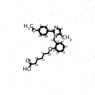 COc1ccc(-c2ncc(C)n2Cc2ccccc2OCCCCCC(=O)O)cc1